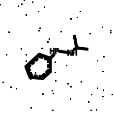 CC(C)NPc1ccccc1